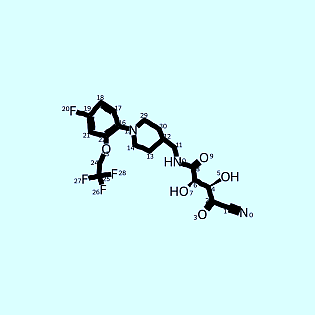 N#CC(=O)[C@H](O)[C@@H](O)C(=O)NCC1CCN(c2ccc(F)cc2OCC(F)(F)F)CC1